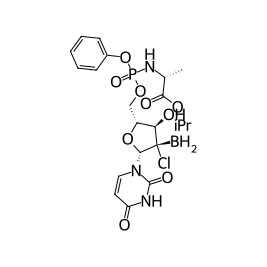 B[C@]1(Cl)[C@H](O)[C@@H](COP(=O)(N[C@H](C)C(=O)OC(C)C)Oc2ccccc2)O[C@H]1n1ccc(=O)[nH]c1=O